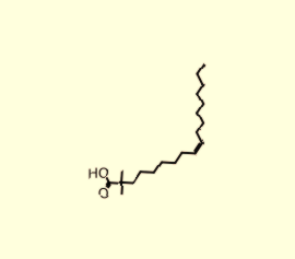 CCCCCCCC/C=C\CCCCCCC(C)(C)C(=O)O